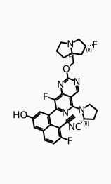 C#Cc1c(F)ccc2cc(O)cc(-c3nc(N4CCC[C@@H]4C#N)c4cnc(OC[C@@]56CCCN5C[C@H](F)C6)nc4c3F)c12